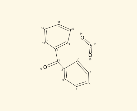 O=C(c1ccccc1)c1ccccc1.O=S=O